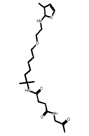 CC(=O)CNC(=O)CCC(=O)NC(C)(C)CCCCCOCCNC1OC=CC1C